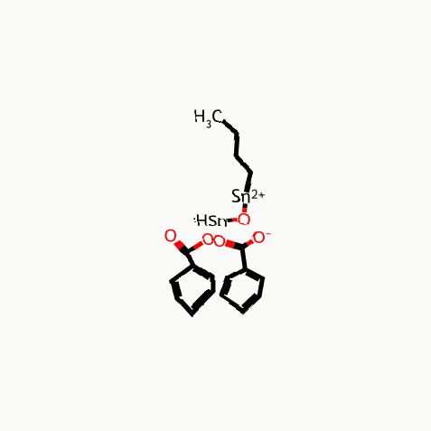 CCC[CH2][Sn+2][O][SnH].O=C([O-])c1ccccc1.O=C([O-])c1ccccc1